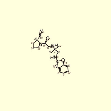 CC(C)(CNc1nc2ccccc2o1)NCC(=O)N1CCC[C@H]1C#N